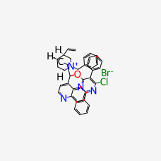 C=C[C@H]1C[N+]2(Cc3ccccc3)CC[C@H]1C[C@@H]2[C@@H](Oc1nc(-c2ccccc2)nc(Cl)c1-c1ccccc1)c1ccnc2ccccc12.[Br-]